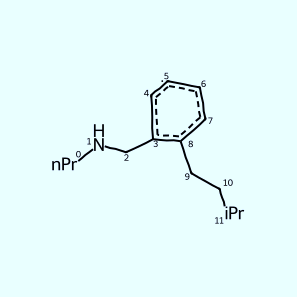 CCCNCc1c[c]ccc1CCC(C)C